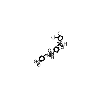 O=C(NCc1ccc([N+](=O)[O-])cc1)Nc1ccc(S(=O)(=O)Nc2ccc(Cl)c(Cl)c2)cc1